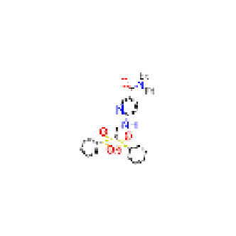 CCN(CC)C(=O)c1ccc(NC=C(S(=O)(=O)c2ccccc2)S(=O)(=O)c2ccccc2)nc1